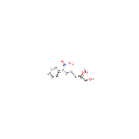 O=C[C@H](O)CCCC(c1ccccc1)[N+](=O)[O-]